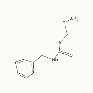 COCSC(=O)NCc1ccccc1